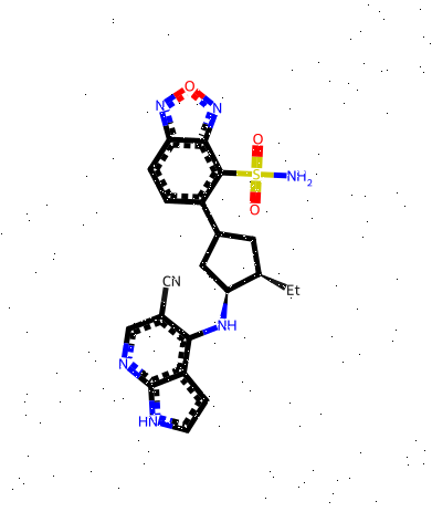 CC[C@@H]1CC(c2ccc3nonc3c2S(N)(=O)=O)C[C@@H]1Nc1c(C#N)cnc2[nH]ccc12